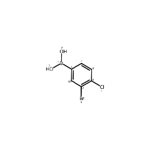 OB(O)c1ccc(Cl)c(Br)c1